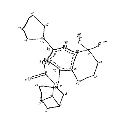 O=C(O)CC1C2CC1CN(c1nc(N3CCCC3)nc3c1CCCC3(F)F)C2